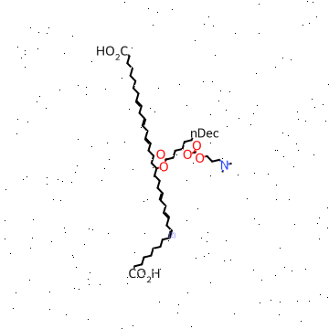 CCCCCCCCCCCCC(CCC(=O)OC(CCCC=CCC=CCC=CCCCCCCCC(=O)O)CCCC=CCC=CC/C=C\CCCCCCCC(=O)O)OC(=O)OCCCN(C)C